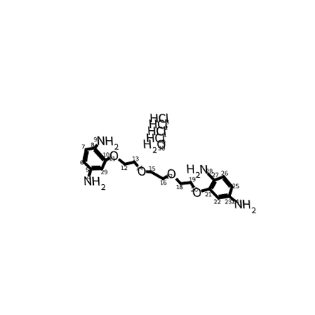 Cl.Cl.Cl.Cl.Nc1ccc(N)c(OCCOCCOCCOc2cc(N)ccc2N)c1.O